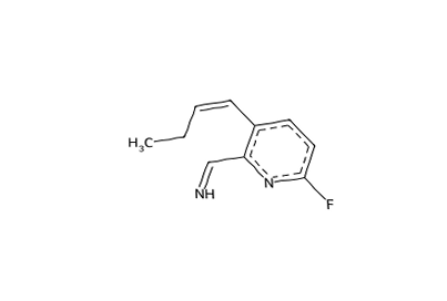 CC/C=C\c1ccc(F)nc1C=N